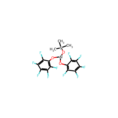 C[Si](C)(C)[O][Al]([O]c1c(F)c(F)c(F)c(F)c1F)[O]c1c(F)c(F)c(F)c(F)c1F